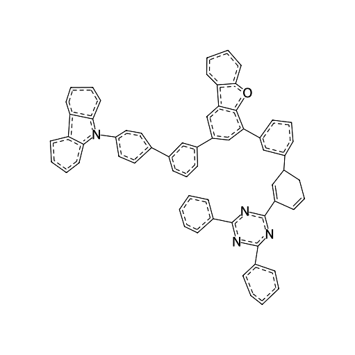 C1=CC(c2nc(-c3ccccc3)nc(-c3ccccc3)n2)=CC(c2cccc(-c3cc(-c4cccc(-c5ccc(-n6c7ccccc7c7ccccc76)cc5)c4)cc4c3oc3ccccc34)c2)C1